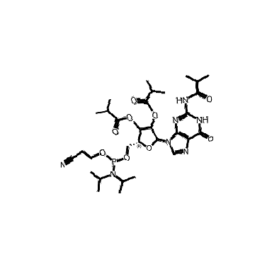 CC(C)C(=O)Nc1nc2c(ncn2C2O[C@H](COP(OCCC#N)N(C(C)C)C(C)C)C(OC(=O)C(C)C)C2OC(=O)C(C)C)c(=O)[nH]1